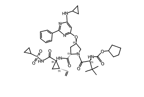 C=C[C@@H]1C[C@]1(NC(=O)[C@@H]1C[C@@H](Oc2cc(NC3CC3)nc(-c3ccccc3)n2)CN1C(=O)[C@@H](NC(=O)OC1CCCC1)C(C)(C)C)C(=O)NS(=O)(=O)C1CC1